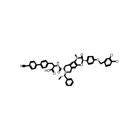 CC[C@@H](c1ccccc1)N1Cc2cc3c(cc2C[C@H]1C(=O)NC(Cc1ccc(-c2ccc(C#N)cc2)cc1)C(=O)O)N(C)C(=O)[C@@H](c1ccc(OCc2ccc(Cl)c(Cl)c2)cc1)O3